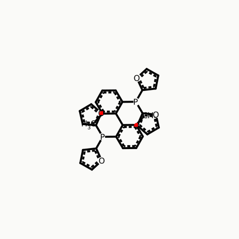 Cc1cccc(P(c2ccco2)c2ccco2)c1-c1c(C)cccc1P(c1ccco1)c1ccco1